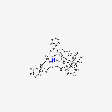 CC1CC(c2ccccc2)CC=C1N(C1C=C2C(=CC1)c1ccccc1C21C2C=CC=CC2C2C=CC=CC21)C1CCC(C2=CC=CCC2)CC1